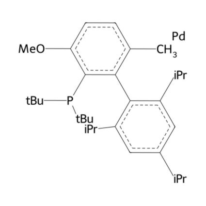 COc1ccc(C)c(-c2c(C(C)C)cc(C(C)C)cc2C(C)C)c1P(C(C)(C)C)C(C)(C)C.[Pd]